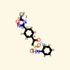 O=C(CS(=O)(=O)Nc1ccccc1F)c1ccc(-c2noc(C(F)(F)F)n2)cc1